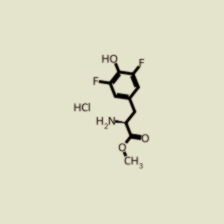 COC(=O)[C@@H](N)Cc1cc(F)c(O)c(F)c1.Cl